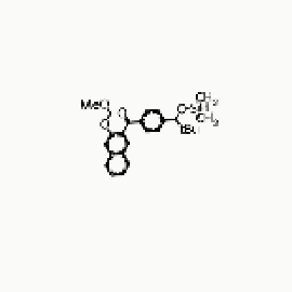 COCOc1cc2ccccc2cc1C(=O)c1ccc(C(O[SiH](C)C)C(C)(C)C)cc1